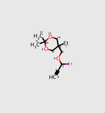 C#CC(I)OCC1(CC)COC(C)(C)OC1